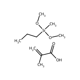 C=C(C)C(=O)O.CCC[Si](C)(OC)OC